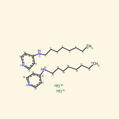 CCCCCCCCNc1ccncc1.CCCCCCCCNc1ccncc1.Cl.Cl